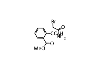 COC(=O)c1ccccc1C(=O)O.NC(=O)CBr